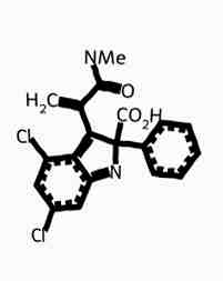 C=C(C(=O)NC)C1=c2c(Cl)cc(Cl)cc2=NC1(C(=O)O)c1ccccc1